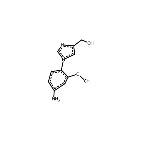 COc1cc(N)ccc1-n1cnc(CO)c1